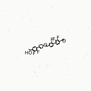 CC(O)c1ccc(C2=CCC(OCc3ccc(-c4ccc(C5CO5)c(F)c4F)c(F)c3)CC2)c(F)c1F